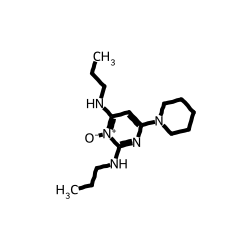 CCCNc1cc(N2CCCCC2)nc(NCCC)[n+]1[O-]